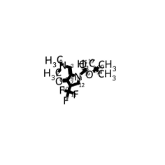 CN(C)/C=C1\C(=O)C(C(F)(F)F)CN1C(=O)OC(C)(C)C